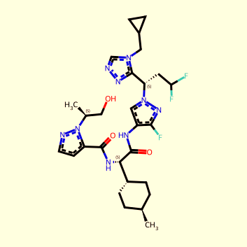 C[C@@H](CO)n1nccc1C(=O)N[C@H](C(=O)Nc1cn([C@@H](CC(F)F)c2nncn2CC2CC2)nc1F)[C@H]1CC[C@H](C)CC1